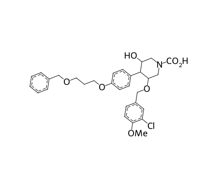 COc1ccc(COC2CN(C(=O)O)CC(O)C2c2ccc(OCCCOCc3ccccc3)cc2)cc1Cl